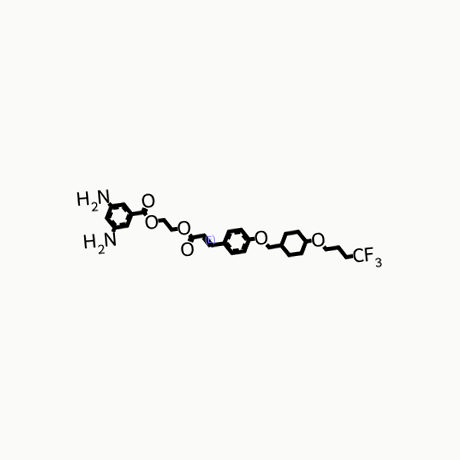 Nc1cc(N)cc(C(=O)OCCOC(=O)/C=C/c2ccc(OCC3CCC(OCCCC(F)(F)F)CC3)cc2)c1